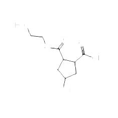 CCCOC(=O)C1CC(C)CC1C(=O)O